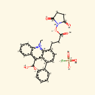 C[n+]1c2ccccc2c(C(=O)O)c2c(-c3ccccc3)ccc(CCC(=O)ON3C(=O)CCC3=O)c21.O=S(=O)([O-])F